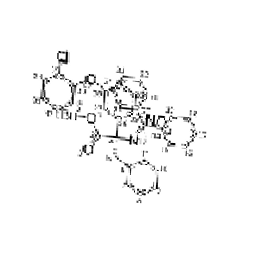 CC(C)(C)OC(=O)[C@](Cc1ccccc1)(N=C(c1ccccc1)c1ccccc1)c1cc(Oc2ccccc2Cl)ccc1[N+](=O)[O-]